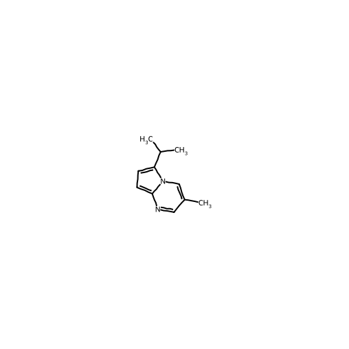 Cc1cnc2ccc(C(C)C)n2c1